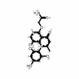 Cc1cc(=O)c2c(OCC(N)=O)ncc(Cl)c2n1-c1c(Cl)cc(O)cc1Cl